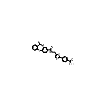 O=C(O)c1ccc(-c2ncc(CNC(=O)c3ccc4c(c3)NC(=O)c3ccccc3S4)s2)cc1